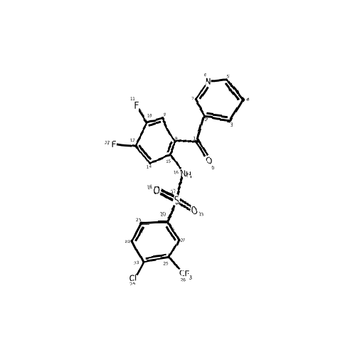 O=C(c1cccnc1)c1cc(F)c(F)cc1NS(=O)(=O)c1ccc(Cl)c(C(F)(F)F)c1